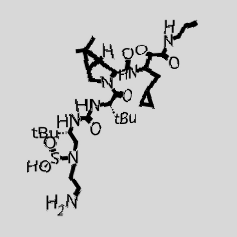 C=CCNC(=O)C(=O)C(CC1CC1)NC(=O)[C@@H]1[C@@H]2C(CN1C(=O)[C@@H](NC(=O)N[C@H](CN(CCCN)[S@@](=O)O)C(C)(C)C)C(C)(C)C)C2(C)C